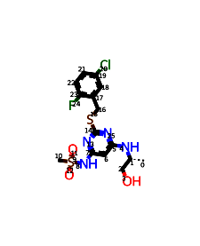 C[C@H](CO)Nc1cc(NS(C)(=O)=O)nc(SCc2cc(Cl)ccc2F)n1